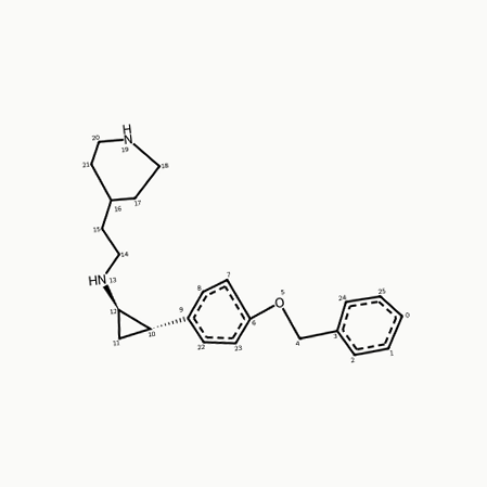 c1ccc(COc2ccc([C@@H]3C[C@H]3NCCC3CCNCC3)cc2)cc1